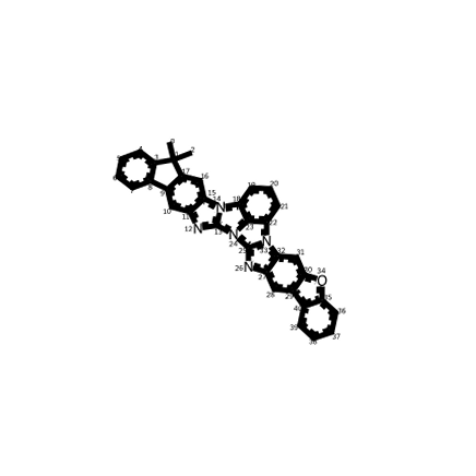 CC1(C)c2ccccc2-c2cc3nc4n(c3cc21)c1cccc2c1n4c1nc3cc4c(cc3n21)oc1ccccc14